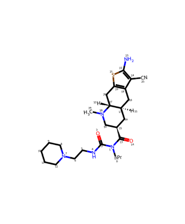 CCCN(C(=O)NCCN1CCCCC1)C(=O)[C@@H]1C[C@@H]2Cc3c(sc(N)c3C#N)C[C@H]2N(C)C1